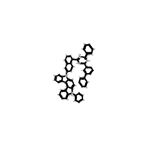 c1ccc(-c2cccc(-c3nc(-c4ccccc4)nc(-c4cccc5cc(-n6c7ccccc7c7c8c9ccccc9n(-c9ccccc9)c8ccc76)ccc45)n3)c2)cc1